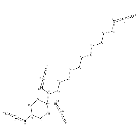 O=C=NCCCCCCCCCCCC(N=C=O)C1(N=C=O)CCC(N=C=O)CC1